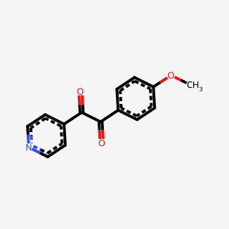 COc1ccc(C(=O)C(=O)c2ccncc2)cc1